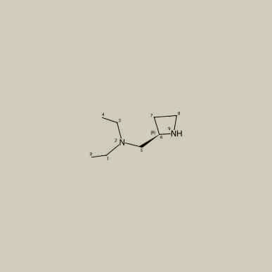 CCN(CC)C[C@H]1CCN1